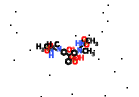 CCN(CCNS(C)(=O)=O)c1ccc2c(-c3ccccc3S(=O)(=O)O)c3ccc(N(CC)CCNS(C)(=O)=O)cc3[o+]c2c1